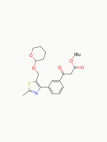 Cc1nc(-c2cccc(C(=O)CC(=O)OC(C)(C)C)c2)c(COC2CCCCO2)s1